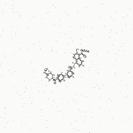 CNC(=O)c1c(F)cnc2c(CCNc3cc(-c4cnc(NC5CCN(CC(F)(F)F)CC5)nc4)ncn3)cccc12